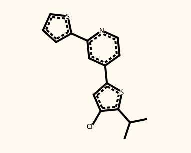 CC(C)c1sc(-c2ccnc(-c3cccs3)c2)cc1Cl